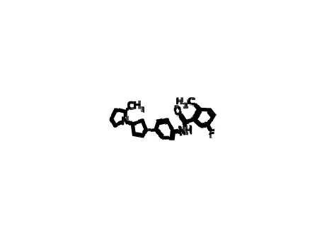 Cc1ccc(F)cc1C(=O)Nc1ccc([C@H]2CCC(N3CCC[C@@H]3C)C2)cc1